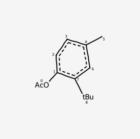 CC(=O)Oc1ccc(C)cc1C(C)(C)C